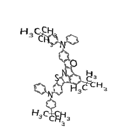 CC(C)(C)c1ccc(N(c2ccccc2)c2ccc3c(c2)oc2c4cc(C(C)(C)C)cc5c6c7ccc(N(c8ccccc8)c8ccc(C(C)(C)C)cc8)cc7sc6n(c45)c32)cc1